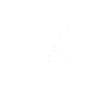 CC(C)CCCCC(CC(C)C)SP([O-])([O-])=S.[Zn+2]